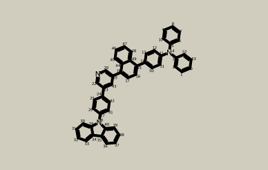 c1ccc(N(c2ccccc2)c2ccc(-c3ccc(-c4cncc(-c5ccc(-n6c7ccccc7c7ccccc76)cc5)c4)c4ccccc34)cc2)cc1